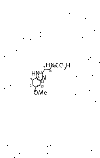 COc1ccc2[nH]c(CCNC(=O)O)nc2c1